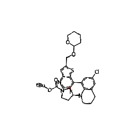 CC(C)(C)OC(=O)N1CC[C@H](N2CCCc3cc(Cl)cc(-c4c(F)cnc5cc(COC6CCCCO6)sc45)c32)C1